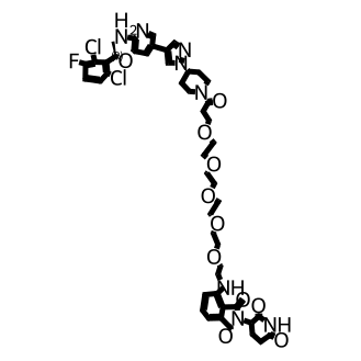 C[C@@H](Oc1cc(-c2cnn(C3CCN(C(=O)CCOCCOCCOCCOCCOCCNc4cccc5c4C(=O)N(C4CCC(=O)NC4=O)C5=O)CC3)c2)cnc1N)c1c(Cl)ccc(F)c1Cl